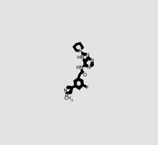 Cn1cc(-c2cc(F)cc(CC(=O)Nc3ncnc4nc(N5CCCCC5)[nH]c34)c2)cn1